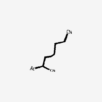 CC(=O)C(C#N)CCCCC#N